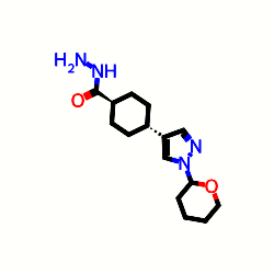 NNC(=O)[C@H]1CC[C@H](c2cnn(C3CCCCO3)c2)CC1